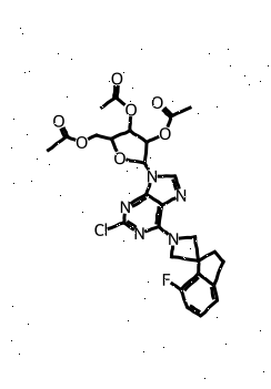 CC(=O)OCC1OC(n2cnc3c(N4CC5(CCc6cccc(F)c65)C4)nc(Cl)nc32)C(OC(C)=O)C1OC(C)=O